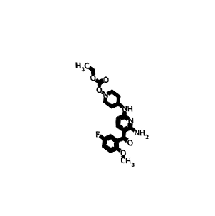 CCOC(=O)ON1CCC(Nc2ccc(C(=O)c3cc(F)ccc3OC)c(N)n2)CC1